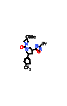 COC1CN(C(=O)N2CC(c3ccc(C(F)(F)F)cc3)CC(c3nc(C(C)C)no3)C2)C1